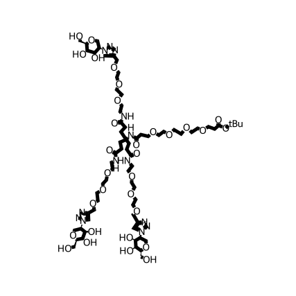 CC(C)(C)OC(=O)CCOCCOCCOCCOCCC(=O)NC(CCC(=O)NCCOCCOCCOCc1cn([C@H]2CO[C@H](CO)[C@H](O)[C@@H]2O)nn1)(CCC(=O)NCCOCCOCCOCc1cn([C@H]2CO[C@H](CO)[C@H](O)[C@@H]2O)nn1)CCC(=O)NCCOCCOCCOCc1cn([C@H]2CO[C@H](CO)[C@H](O)[C@@H]2O)nn1